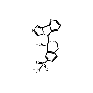 NS(=O)(=O)c1ccc2c(c1)[C@@H](O)[C@H]([C@@H]1c3ccccc3-c3cncn31)CC2